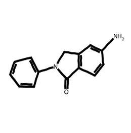 Nc1ccc2c(c1)CN(c1ccccc1)C2=O